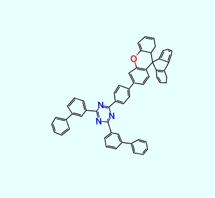 C1=CCC2C(=C1)Oc1cc(-c3ccc(-c4nc(-c5cccc(-c6ccccc6)c5)nc(-c5cccc(-c6ccccc6)c5)n4)cc3)ccc1C21C2=C(CCC=C2)c2ccccc21